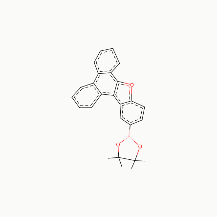 CC1(C)OB(c2ccc3oc4c5ccccc5c5ccccc5c4c3c2)OC1(C)C